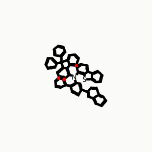 c1ccc(-c2ccc(-c3ccc4ccccc4c3)cc2N(c2cccc3c2-c2ccccc2C3(c2ccccc2)c2ccccc2)c2cccc3c2sc2ccccc23)cc1